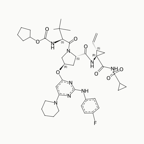 C=C[C@@H]1C[C@]1(NC(=O)[C@@H]1C[C@@H](Oc2cc(N3CCCCC3)nc(Nc3ccc(F)cc3)n2)CN1C(=O)[C@@H](NC(=O)OC1CCCC1)C(C)(C)C)C(=O)NS(=O)(=O)C1CC1